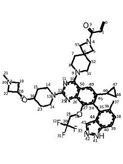 C=CC(=O)N1CC2(CCN(c3nc(N4CCC(OC5CN(C)C5)CC4)nc4c(OCC(F)(F)F)c(-c5c(C)ccc6[nH]ncc56)c(C5CC5)cc34)CC2)C1